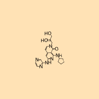 O=c1c2c(NC3CCCC3)nc(Nc3cnccn3)cc2ccn1C[C@H](O)CO